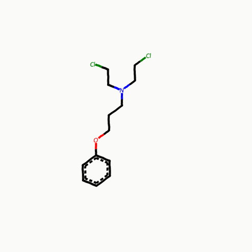 ClCCN(CCCl)CCCOc1ccccc1